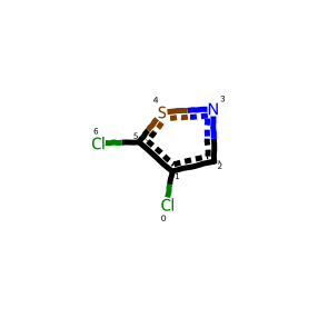 Clc1[c]nsc1Cl